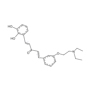 CCN(CC)CCOc1cccc(/C=C/C(=O)/C=C/c2cccc(O)c2O)c1